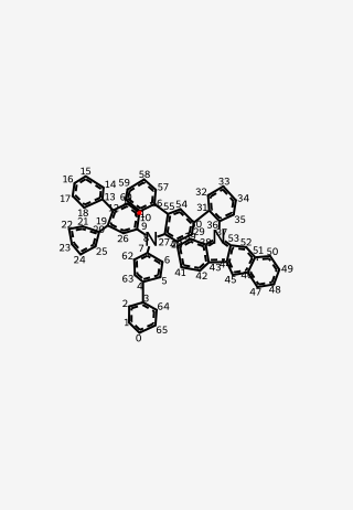 c1ccc(-c2ccc(N(c3ccc(-c4ccccc4)c(-c4ccccc4)c3)c3ccc(-c4ccccc4-n4c5ccccc5c5cc6ccccc6cc54)cc3-c3ccccc3)cc2)cc1